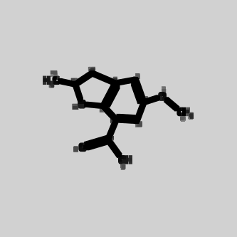 COc1cc2c(c(C(=O)O)c1)OC(C)C2